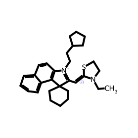 CCN1CCS/C1=C\C1=[N+](CCC2CCCC2)c2ccc3ccccc3c2C12CCCCC2